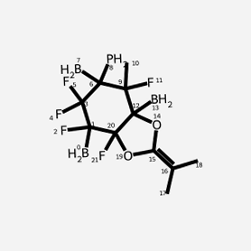 BC1(F)C(F)(F)C(B)(P)C(C)(F)C2(B)OC(=C(C)C)OC12F